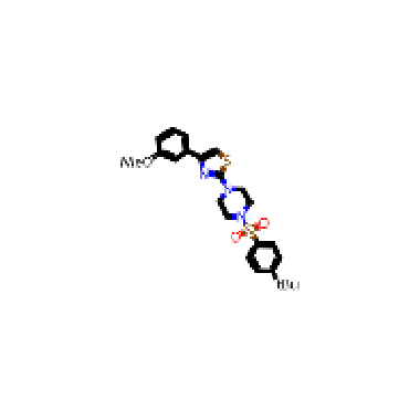 COc1cccc(-c2csc(N3CCN(S(=O)(=O)c4ccc(C(C)(C)C)cc4)CC3)n2)c1